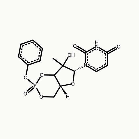 CC1(O)C2OP(=O)(Oc3ccccc3)OC[C@H]2O[C@H]1n1ccc(=O)[nH]c1=O